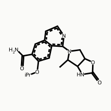 CC(C)Oc1cc2c(N3CC4OC(=O)NC4C3C)nccc2cc1C(N)=O